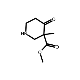 COC(=O)C1(C)CNCCC1=O